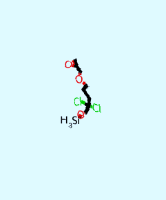 [SiH3]OCC(Cl)(Cl)CCCOCC1CO1